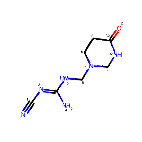 N#C/N=C(\N)NCN1CCC(=O)NC1